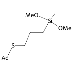 CO[Si](C)(CCCSC(C)=O)OC